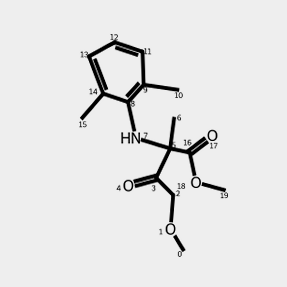 COCC(=O)C(C)(Nc1c(C)cccc1C)C(=O)OC